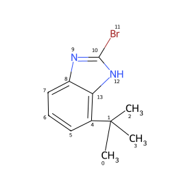 CC(C)(C)c1cccc2nc(Br)[nH]c12